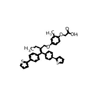 CCC(COc1ccc(OCC(=O)O)c(C)c1)=C(c1ccc(-c2cccs2)cc1)c1ccc(-c2cccs2)cc1